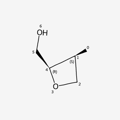 C[C@H]1CO[C@H]1CO